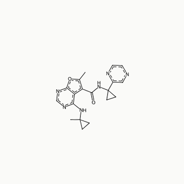 Cc1oc2ncnc(NC3(C)CC3)c2c1C(=O)NC1(c2cnccn2)CC1